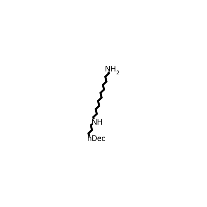 CCCCCCCCCCCCCNCCCCCCCCCCCCN